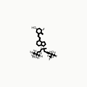 [2H]C([2H])([2H])C(O)(CCCC(C)(CC#CC(O)(C(F)(F)F)C(F)(F)F)[C@H]1CCC2/C(=C/C=C3/C[C@@H](O)C[C@H](F)C3=C)CCC[C@@]21C)C([2H])([2H])[2H]